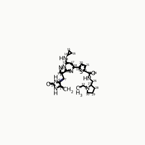 C=c1[nH]c(=O)[nH]/c1=C\c1cnn2c(NC3CC3)cc(-c3ccc(C(=O)NCC4CCCN4CC)s3)nc12